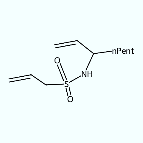 [CH2]CCCCC(C=C)NS(=O)(=O)CC=C